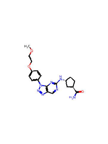 COCCOc1ccc(-n2nnc3cnc(N[C@@H]4CC[C@@H](C(N)=O)C4)nc32)cc1